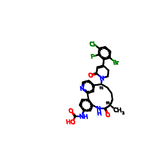 C[C@@H]1CCC[C@H](N2CCC(c3c(Br)ccc(Cl)c3F)=CC2=O)c2ccnc(c2)-c2ccc(NC(=O)O)cc2NC1=O